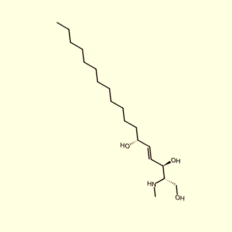 CCCCCCCCCCCC[C@@H](O)/C=C/[C@@H](O)[C@H](CO)NC